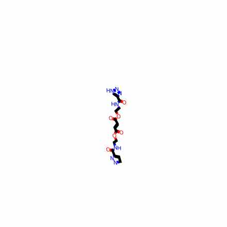 O=C(/C=C/C(=O)OCCNC(=O)c1c[nH]nn1)OCCNC(=O)C1=CCN=N1